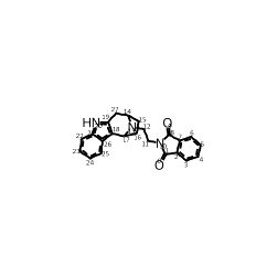 O=C1c2ccccc2C(=O)N1CCN1C2CCC1c1c([nH]c3ccccc13)C2